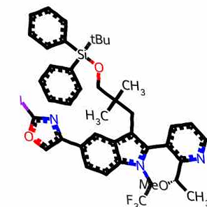 CO[C@@H](C)c1ncccc1-c1c(CC(C)(C)CO[Si](c2ccccc2)(c2ccccc2)C(C)(C)C)c2cc(-c3coc(I)n3)ccc2n1CC(F)(F)F